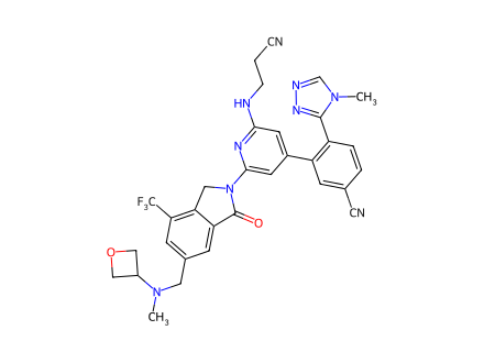 CN(Cc1cc2c(c(C(F)(F)F)c1)CN(c1cc(-c3cc(C#N)ccc3-c3nncn3C)cc(NCCC#N)n1)C2=O)C1COC1